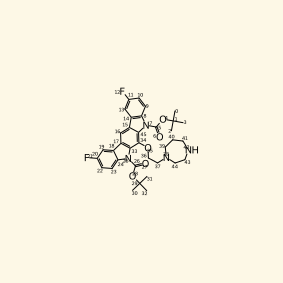 CC(C)(C)OC(=O)n1c2ccc(F)cc2c2cc3c4cc(F)ccc4n(C(=O)OC(C)(C)C)c3c(OCCN3CCCNCC3)c21